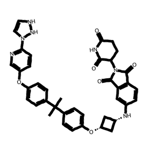 CC(C)(c1ccc(Oc2ccc(N3C=CNN3)nc2)cc1)c1ccc(O[C@H]2C[C@@H](Nc3ccc4c(c3)C(=O)N(C3CCC(=O)NC3=O)C4=O)C2)cc1